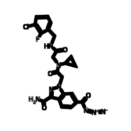 [N-]=[N+]=NC(=O)c1ccc2c(C(N)=O)nn(CC(=O)N(CC(=O)NCc3cccc(Cl)c3F)C3CC3)c2c1